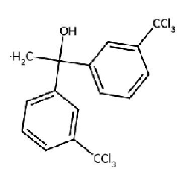 [CH2]C(O)(c1cccc(C(Cl)(Cl)Cl)c1)c1cccc(C(Cl)(Cl)Cl)c1